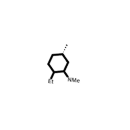 CCC1CC[C@H](C)CC1NC